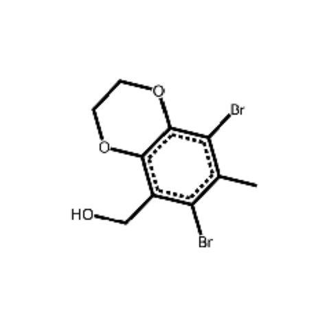 Cc1c(Br)c(CO)c2c(c1Br)OCCO2